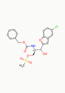 CS(=O)(=O)OC[C@@H](NC(=O)OCc1ccccc1)C(O)c1cc2cc(Cl)ccc2o1